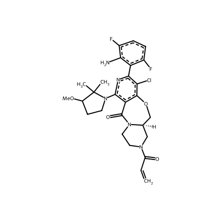 C=CC(=O)N1CCN2C(=O)c3c(N4CCC(OC)C4(C)C)nc(-c4c(F)ccc(F)c4N)c(Cl)c3OC[C@H]2C1